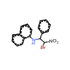 O=[N+]([O-])C(Br)C(Nc1cccc2ccccc12)c1ccccc1